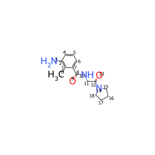 Cc1c(N)cccc1C(=O)NCC(=O)N1CCCC1